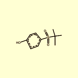 CC(C)(C)S(=O)(=O)c1ccc(O)cc1